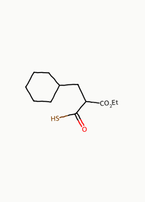 CCOC(=O)C(CC1CCCCC1)C(=O)S